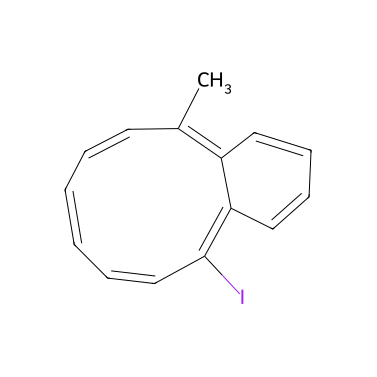 Cc1ccccccc(I)c2ccccc12